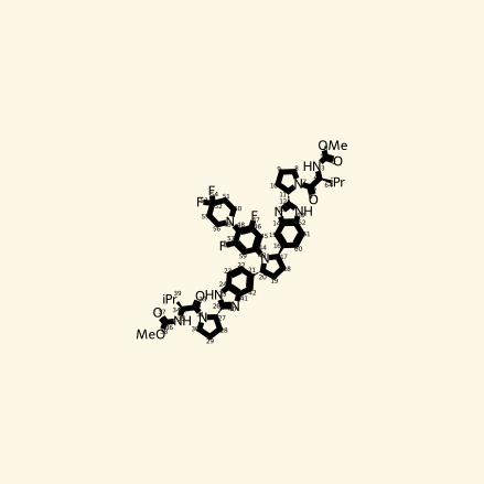 COC(=O)N[C@H](C(=O)N1CCC[C@H]1c1nc2cc([C@H]3CC[C@H](c4ccc5[nH]c([C@@H]6CCCN6C(=O)[C@@H](NC(=O)OC)C(C)C)nc5c4)N3c3cc(F)c(N4CCC(F)(F)CC4)c(F)c3)ccc2[nH]1)C(C)C